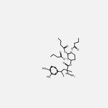 CCCC(=O)O[C@H]1[C@H](OC(=O)CCC)CCC(OC(=O)C(C)(CC(F)c2ccc(O)c(O)c2)NN)[C@@H]1OC(=O)CCC